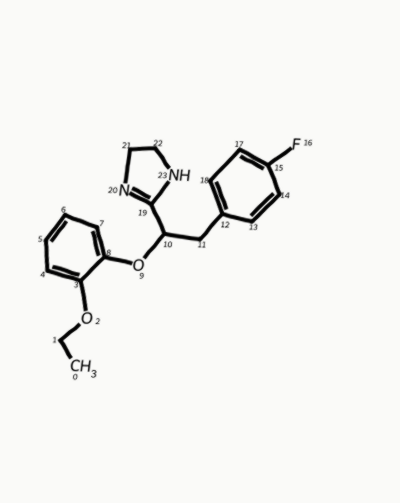 CCOc1ccccc1OC(Cc1ccc(F)cc1)C1=NCCN1